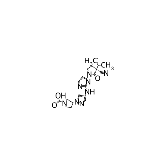 CC(C)[C@]1(C#N)CCN(c2ccnc(Nc3cnn([C@@H]4CCN(C(=O)O)C4)c3)n2)C1=O